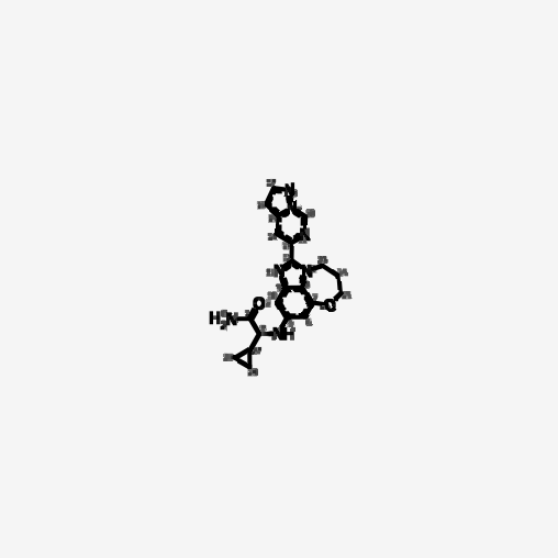 NC(=O)[C@@H](Nc1cc2c3c(c1)nc(-c1cc4ccnn4cn1)n3CCCO2)C1CC1